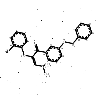 CN(C)/C=C(/Oc1ccccc1C#N)C(=O)c1cccc(OCc2ccccc2)c1